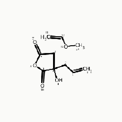 C=CCC1(O)CC(=O)OC1=O.C=COC